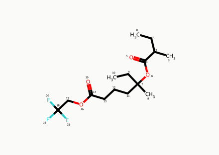 CCC(C)C(=O)OC(C)(CC)CCCC(=O)OCC(F)(F)F